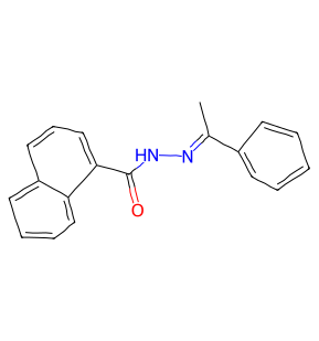 C/C(=N\NC(=O)c1cccc2ccccc12)c1ccccc1